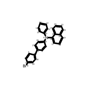 Brc1ccc(-c2ccc(N(c3ccccc3)c3cccc4ccccc34)cc2)cc1